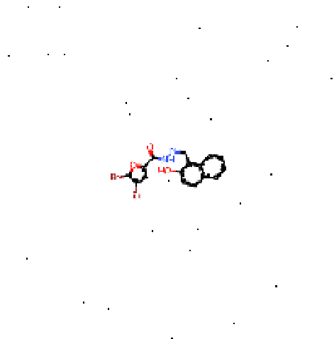 O=C(N/N=C\c1c(O)ccc2ccccc12)c1cc(Br)c(Br)o1